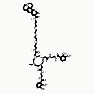 CCN1CCN(CC(=O)NCCCOCCOCCOCCCNC(=O)c2cc3cc4c5c(c3oc2=O)CCCN5CCC4)CCN(CC(=O)NCCNC(=O)c2cccc(O)c2O)CCN(CC(=O)NCCNC(=O)c2cccc(O)c2O)CC1